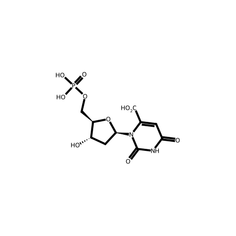 O=C(O)c1cc(=O)[nH]c(=O)n1[C@H]1C[C@H](O)[C@@H](COP(=O)(O)O)O1